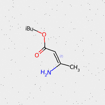 CCC(C)OC(=O)/C=C(/C)N